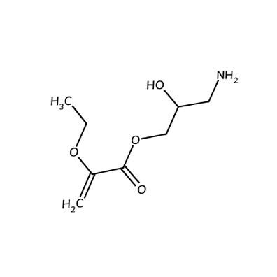 C=C(OCC)C(=O)OCC(O)CN